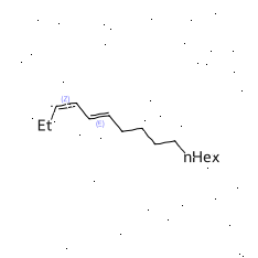 CC/[C]=C\C=C\CCCCCCCCCC